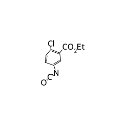 CCOC(=O)c1cc(N=C=O)ccc1Cl